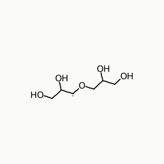 OCC(O)[CH]OCC(O)CO